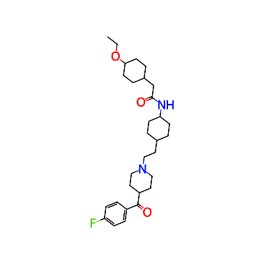 CCOC1CCC(CC(=O)NC2CCC(CCN3CCC(C(=O)c4ccc(F)cc4)CC3)CC2)CC1